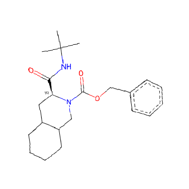 CC(C)(C)NC(=O)[C@@H]1CC2CCCCC2CN1C(=O)OCc1ccccc1